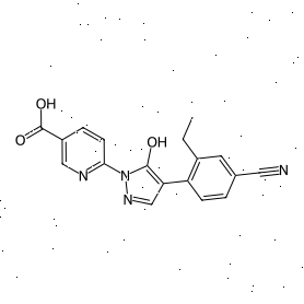 CCc1cc(C#N)ccc1-c1cnn(-c2ccc(C(=O)O)cn2)c1O